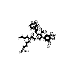 CCCCN(CCCCN(C)C)C(=O)CN1C[C@H](c2cc(OC)c3c(c2)OCO3)[C@@H](C(=O)O)[C@@H]1CCN1CCCS1(=O)=O